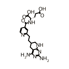 Nc1nc(N)c2c(n1)NCC(CCc1cc(C(=O)N[C@@H](CCC(=O)O)C(=O)O)ccn1)C2